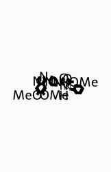 COC(=O)[C@H](Cc1ccccc1)NC(=O)N1CCN(c2ncnc3cc(OC)c(OC)cc23)CC1